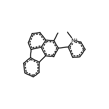 Cc1c(-c2cccc[n+]2C)cc2c3c(cccc13)-c1ccccc1-2